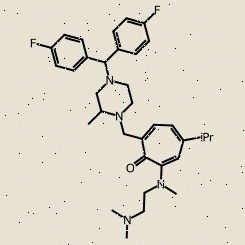 CC(C)c1ccc(CN2CCN(C(c3ccc(F)cc3)c3ccc(F)cc3)CC2C)c(=O)c(N(C)CCN(C)C)c1